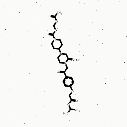 CC(=O)OCOC(=O)N1CCC(N2CCN(CC(=O)c3ccc(OCC(=O)OC(C)C)cc3)C(=O)C2)CC1.Cl